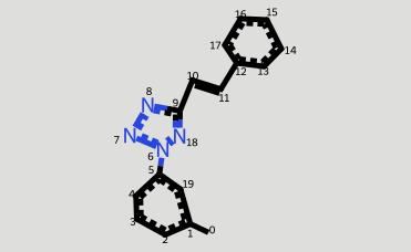 Cc1cccc(-n2nnc(C=Cc3ccccc3)n2)c1